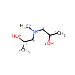 CC(O)CN(C)C[C@H](C)O